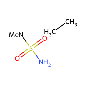 CC.CNS(N)(=O)=O